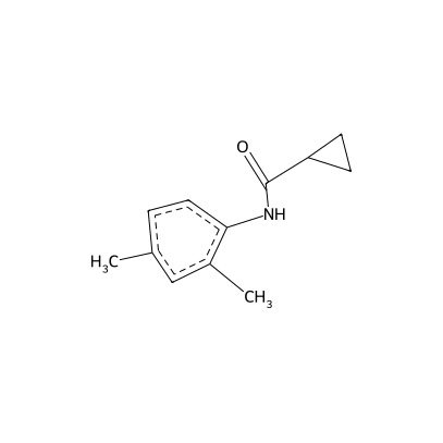 Cc1ccc(NC(=O)C2CC2)c(C)c1